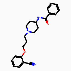 N#Cc1ccccc1OCCCN1CCC(NC(=O)c2ccccc2)CC1